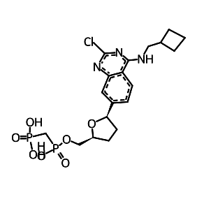 O=P(O)(O)CP(=O)(O)OC[C@@H]1CC[C@H](c2ccc3c(NCC4CCC4)nc(Cl)nc3c2)O1